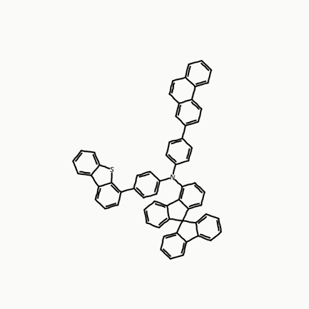 c1ccc2c(c1)-c1ccccc1C21c2ccccc2-c2c(N(c3ccc(-c4ccc5c(ccc6ccccc65)c4)cc3)c3ccc(-c4cccc5c4sc4ccccc45)cc3)cccc21